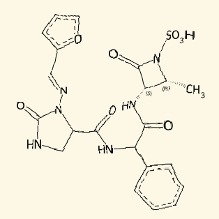 C[C@@H]1[C@H](NC(=O)C(NC(=O)C2CNC(=O)N2N=Cc2ccco2)c2ccccc2)C(=O)N1S(=O)(=O)O